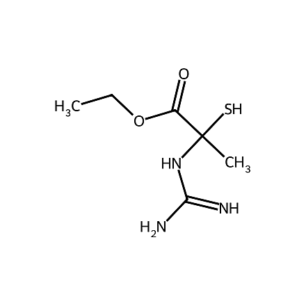 CCOC(=O)C(C)(S)NC(=N)N